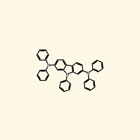 c1ccc(N(c2ccccc2)c2ccc3c4ccc(N(c5ccccc5)c5ccccc5)cc4n(-c4ccccc4)c3c2)cc1